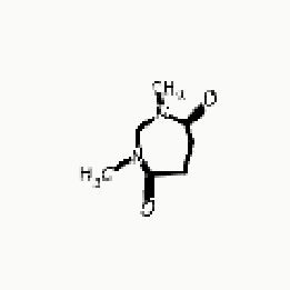 CN1CN(C)C(=O)CCC1=O